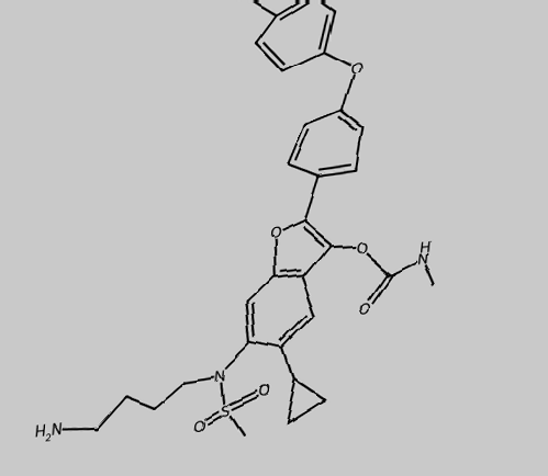 CNC(=O)Oc1c(-c2ccc(Oc3ccc(F)cc3)cc2)oc2cc(N(CCCCN)S(C)(=O)=O)c(C3CC3)cc12